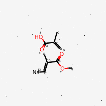 C=C(C)C(=O)O.COC(=O)C(C)=[CH][Na]